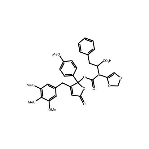 COc1ccc(C2(OC(=O)N(C3=COCO3)C(Cc3ccccc3)C(=O)O)OC(=O)C=C2Cc2cc(OC)c(OC)c(OC)c2)cc1